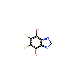 Fc1c(F)c(Br)c2c(c1Br)=NCN=2